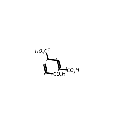 C=CC(=O)O.O=C(O)C=CCC(=O)O